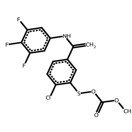 C=C(Nc1cc(F)c(F)c(F)c1)c1ccc(Cl)c(SOC(=O)OC)c1